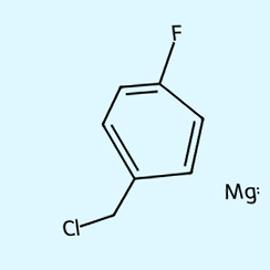 Fc1ccc(CCl)cc1.[Mg]